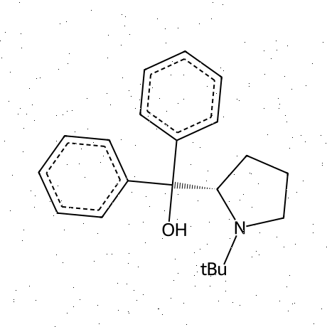 CC(C)(C)N1CCC[C@H]1C(O)(c1ccccc1)c1ccccc1